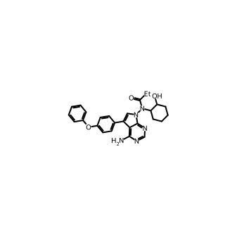 CCC(=O)N(C1CCCCC1O)n1cc(-c2ccc(Oc3ccccc3)cc2)c2c(N)ncnc21